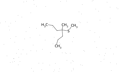 CCCC(C)(CCC)SC